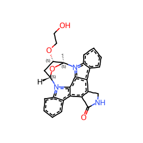 C[C@]12O[C@@H](C[C@@H]1OCCO)n1c3ccccc3c3c4c(c5c6ccccc6n2c5c31)CNC4=O